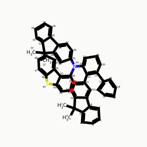 CC1(C)c2ccccc2-c2cc(-c3c(-c4ccccc4)cccc3N(c3ccc4c(c3)C(C)(C)c3ccccc3-4)c3cccc4sc5ccccc5c34)ccc21